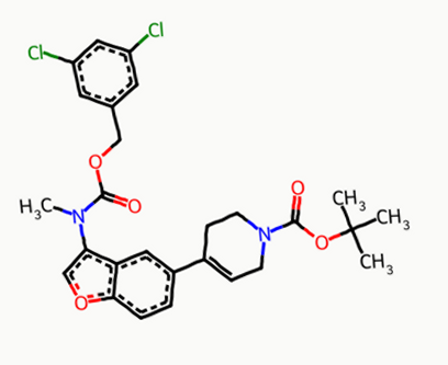 CN(C(=O)OCc1cc(Cl)cc(Cl)c1)c1coc2ccc(C3=CCN(C(=O)OC(C)(C)C)CC3)cc12